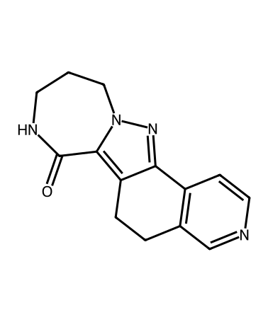 O=C1NCCCn2nc3c(c21)CCc1cnccc1-3